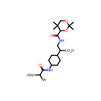 CCCCCCCCCCC(C(=O)NC1CCC(C(CNC(=O)C2OC(C)(C)OCC2(C)C)C(=O)O)CC1)C(C)C